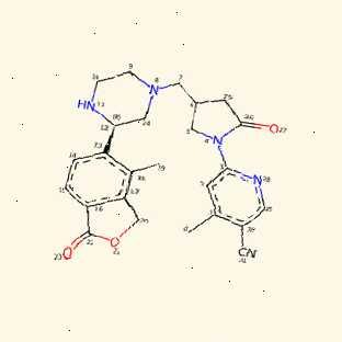 Cc1cc(N2CC(CN3CCN[C@H](c4ccc5c(c4C)COC5=O)C3)CC2=O)ncc1C#N